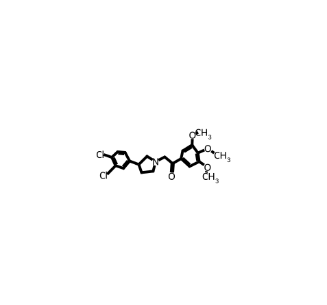 COc1cc(C(=O)CN2CC[C](c3ccc(Cl)c(Cl)c3)C2)cc(OC)c1OC